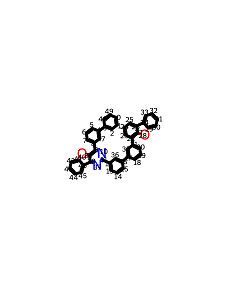 c1ccc(-c2cccc(-c3nc(-c4cccc(-c5cccc(-c6cccc7c6oc6ccccc67)c5)c4)nc4c3oc3ccccc34)c2)cc1